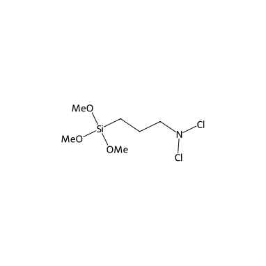 CO[Si](CCCN(Cl)Cl)(OC)OC